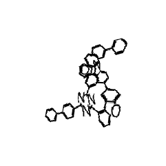 c1ccc(-c2ccc(-c3nc(-c4ccc5c(c4)oc4ccccc45)nc(-c4cccc5oc6ccc(-c7ccc8c(c7)c7ccccc7n8-c7cccc(-c8ccccc8)c7)cc6c45)n3)cc2)cc1